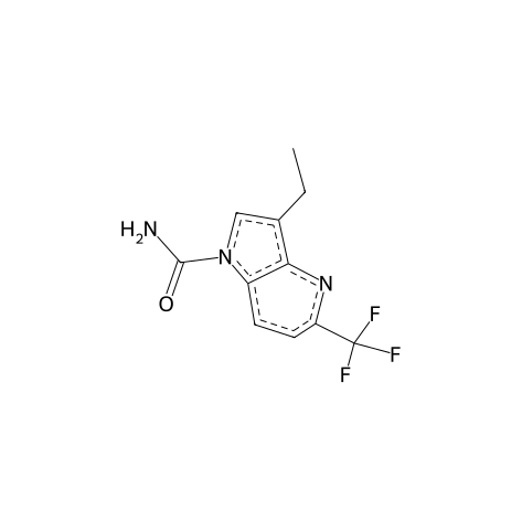 CCc1cn(C(N)=O)c2ccc(C(F)(F)F)nc12